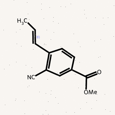 C/C=C/c1ccc(C(=O)OC)cc1C#N